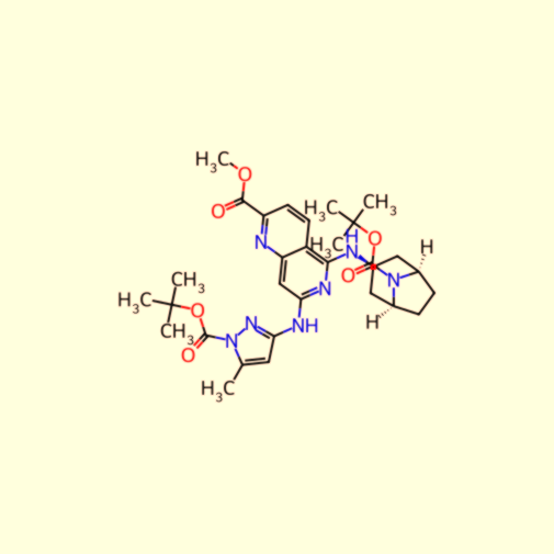 COC(=O)c1ccc2c(N[C@H]3C[C@H]4CC[C@@H](C3)N4C(=O)OC(C)(C)C)nc(Nc3cc(C)n(C(=O)OC(C)(C)C)n3)cc2n1